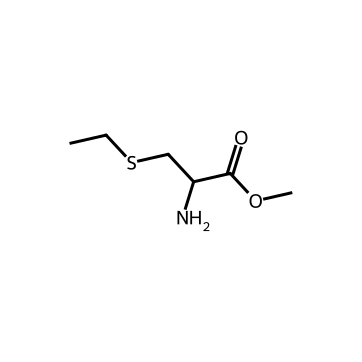 CCSCC(N)C(=O)OC